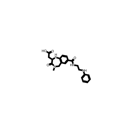 CN1Cc2cc(C(=O)NCCNc3ccccc3)ccc2NC(CC(=O)O)C1=O